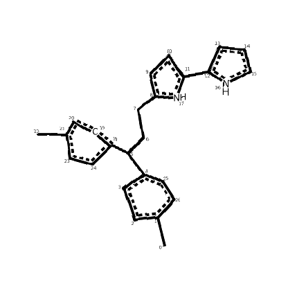 Cc1ccc(C(CCc2ccc(-c3ccc[nH]3)[nH]2)c2ccc(C)cc2)cc1